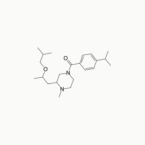 CC(C)COC(C)CC1CN(C(=O)c2ccc(C(C)C)cc2)CCN1C